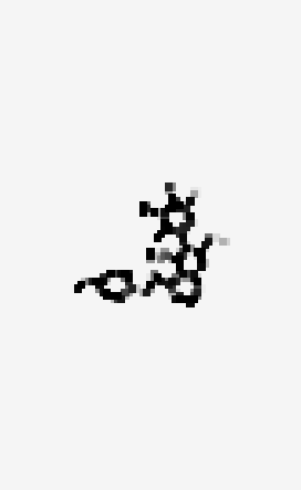 COC(=O)C(=C(O)c1nccnc1OCc1ccc(OC)cc1)c1cc(F)c(F)c(F)c1C